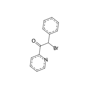 O=C(c1ccccn1)C(Br)c1ccccc1